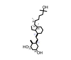 C=C1/C(=C\C=C2/CCC[C@@]3(C)C2CC[C@@H]3[C@H](C)CCCC(C)(C)O)C[C@@H](O)C[C@@H]1O